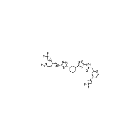 N/C=C\C(=C/Nc1nnc([C@H]2CCC[C@H](c3nnc(NC(=O)Cc4cc(N5CC(F)(F)C5)ccn4)s3)C2)s1)N1CC(F)(F)C1